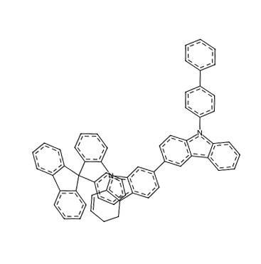 C1=Cc2c(c3ccc(-c4ccc5c(c4)c4ccccc4n5-c4ccc(-c5ccccc5)cc4)cc3n2-c2ccccc2C2(c3ccccc3)c3ccccc3-c3ccccc32)CC1